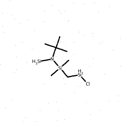 CC(C)(C)N([SiH3])[Si](C)(C)C[SiH2]Cl